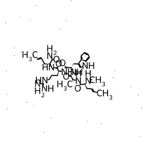 CC=CC[C@H](NC(=O)[C@H](CCCNC(=N)N)NC(=O)[C@H](Cc1c[nH]c2ccccc12)NC(=O)[C@H](C)NC(=O)[C@H](CC=CC)NC)C(N)=O